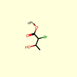 CCCOC(=O)C(Br)C(C)O